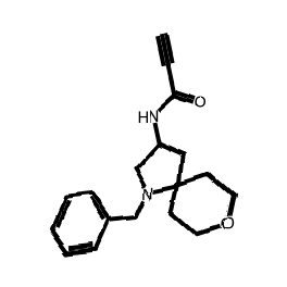 C#CC(=O)NC1CN(Cc2ccccc2)C2(CCOCC2)C1